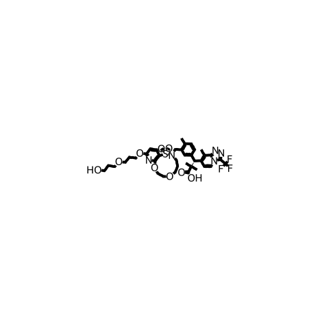 Cc1ccc([C@H](c2ccn3c(C(F)(F)F)nnc3c2C)C(C)(C)C(=O)O)cc1CN1CCCOCCOc2nc(OCCCOCCCO)ccc2S1(=O)=O